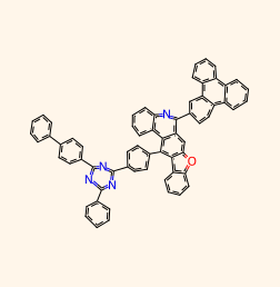 c1ccc(-c2ccc(-c3nc(-c4ccccc4)nc(-c4ccc(-c5c6c(cc7c(-c8ccc9c%10ccccc%10c%10ccccc%10c9c8)nc8ccccc8c57)oc5ccccc56)cc4)n3)cc2)cc1